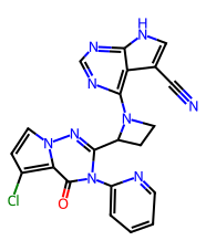 N#Cc1c[nH]c2ncnc(N3CCC3c3nn4ccc(Cl)c4c(=O)n3-c3ccccn3)c12